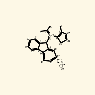 CC1=[C]([Zr+2](=[C](C)C)[CH]2c3ccccc3-c3ccccc32)CC=C1.[Cl-].[Cl-]